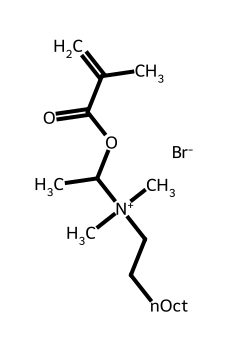 C=C(C)C(=O)OC(C)[N+](C)(C)CCCCCCCCCC.[Br-]